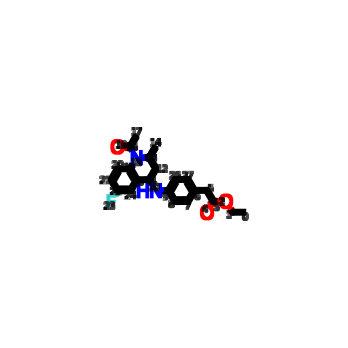 CCOC(=O)Cc1ccc(NC2CC(C)N(C(C)=O)c3ccc(F)cc32)cc1